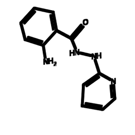 Nc1ccccc1C(=O)NNc1ccccn1